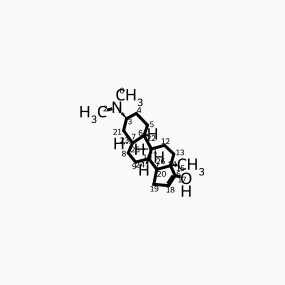 CN(C)[C@H]1CC[C@H]2[C@@H](CC[C@@H]3[C@@H]2CC[C@]2(C)C(O)=CC[C@@H]32)C1